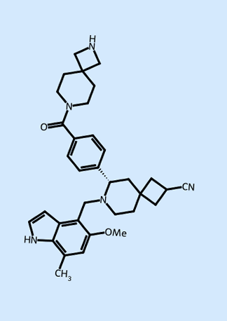 COc1cc(C)c2[nH]ccc2c1CN1CCC2(CC(C#N)C2)C[C@H]1c1ccc(C(=O)N2CCC3(CC2)CNC3)cc1